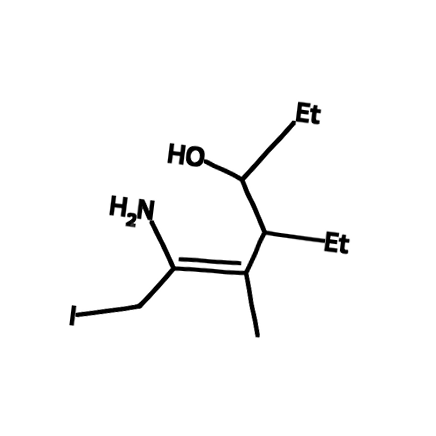 CCC(O)C(CC)/C(C)=C(\N)CI